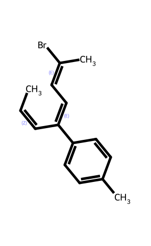 C\C=C/C(=C\C=C(/C)Br)c1ccc(C)cc1